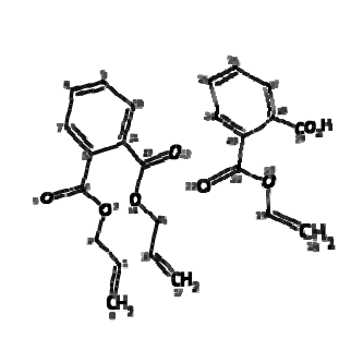 C=CCOC(=O)c1ccccc1C(=O)OCC=C.C=COC(=O)c1ccccc1C(=O)O